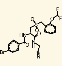 N#CCNC(=O)[C@H](CS(=O)(=O)Cc1ccccc1OC(F)F)NC(=O)c1ccc(Br)cc1